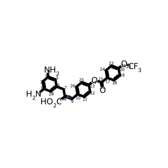 Nc1cc(N)cc(C/C(=C\c2ccc(OC(=O)c3ccc(OC(F)(F)F)cc3)cc2)C(=O)O)c1